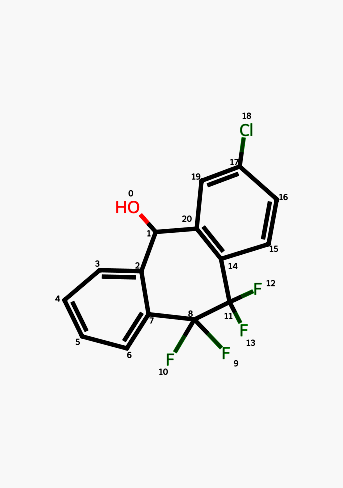 OC1c2ccccc2C(F)(F)C(F)(F)c2ccc(Cl)cc21